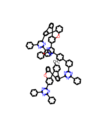 Cc1ccc2c(c1)C1(c3ccccc3Oc3cc(-c4nc(-c5ccccc5)nc(-c5ccccc5)n4)ccc31)c1cccc(-c3nc(-c4ccccc4)nc(-c4cccc(-c5ccc(-c6cc(-c7ccc8c(c7)Oc7ccccc7C87c8ccccc8-c8ccc(-c9cc(-c%10ccccc%10)nc(-c%10ccccc%10)n9)cc87)nc(-c7ccccc7)n6)cc5)c4)n3)c1-2